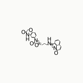 O=C1COc2ccc(N3C[C@H](CCCN[C@H]4Cn5c(=O)ccc6cccc4c65)OC3=O)cc2N1